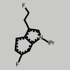 CC(C)n1cc([CH]CF)c2ccc(F)cc21